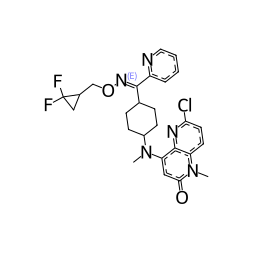 CN(c1cc(=O)n(C)c2ccc(Cl)nc12)C1CCC(/C(=N\OCC2CC2(F)F)c2ccccn2)CC1